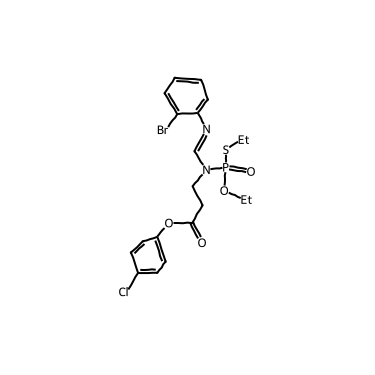 CCOP(=O)(SCC)N(C=Nc1ccccc1Br)CCC(=O)Oc1ccc(Cl)cc1